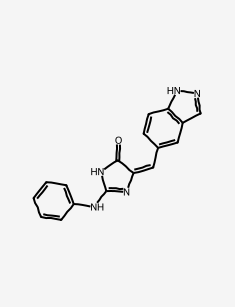 O=C1NC(Nc2ccccc2)=NC1=Cc1ccc2[nH]ncc2c1